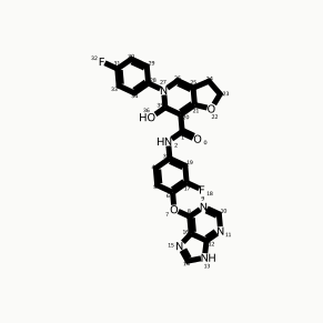 O=C(Nc1ccc(Oc2ncnc3[nH]cnc23)c(F)c1)C1=C2OCCC2=CN(c2ccc(F)cc2)C1O